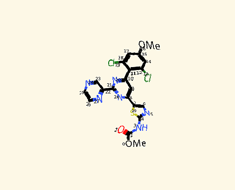 COC(=O)Nc1ncc(-c2cc(-c3c(Cl)cc(OC)cc3Cl)nc(-c3cnccn3)n2)s1